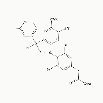 COC(=O)Cc1cc(Br)c(Oc2cc(C(C)C)c(OC)cc2C(N)(c2cccc(C)c2)C(C)C)c(Br)c1